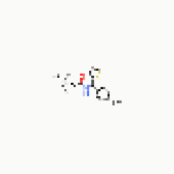 CC(C)c1ccc(C(NC(=O)C2CCCC2C(=O)O)c2cccs2)cc1